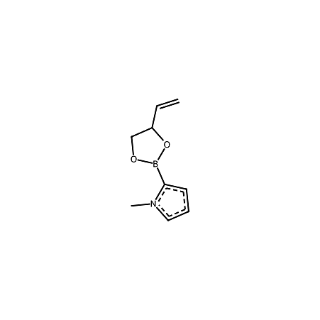 C=CC1COB(c2cccn2C)O1